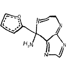 NC1(c2ccco2)N=CN=C2N=CN=C21